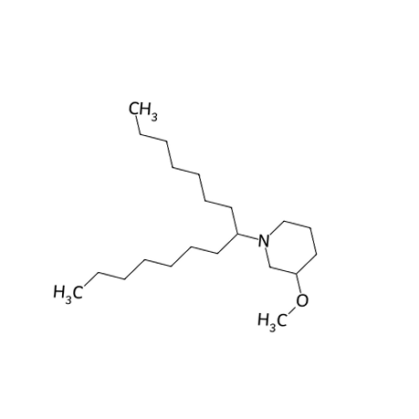 CCCCCCCC(CCCCCCC)N1CCCC(OC)C1